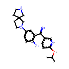 CC(C)Oc1ccc(C(=N)c2cc(N3CCC4(CCNC4)C3)ccc2N)cn1